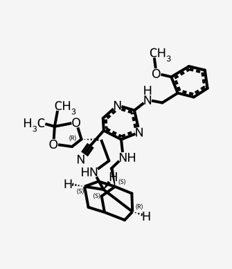 COc1ccccc1CNc1ncc(C#N)c(NC[C@]23CC4C[C@H](C2)[C@@H](NCC[C@@H]2COC(C)(C)O2)[C@@H](C4)C3)n1